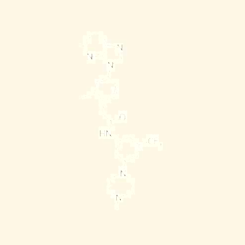 Cc1cc(-n2cnc3cccnc32)ccc1CC(=O)Nc1cc(N2CCN(C)CC2)cc(C(F)(F)F)c1